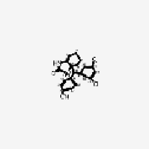 CCN1C(=O)NC2=CCCCC21C(c1ccc(C#N)cc1)c1cc(Cl)cc(Cl)c1